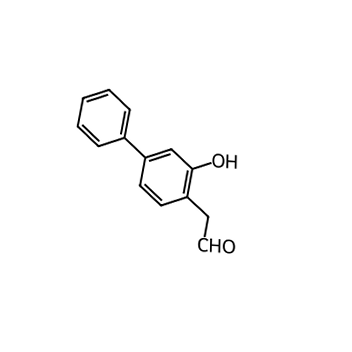 O=CCc1ccc(-c2ccccc2)cc1O